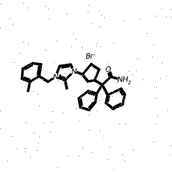 Cc1ccccc1C[n+]1ccn(C2CCC(C(C(N)=O)(c3ccccc3)c3ccccc3)C2)c1C.[Br-]